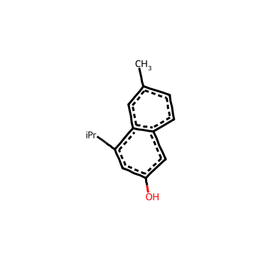 Cc1ccc2cc(O)cc(C(C)C)c2c1